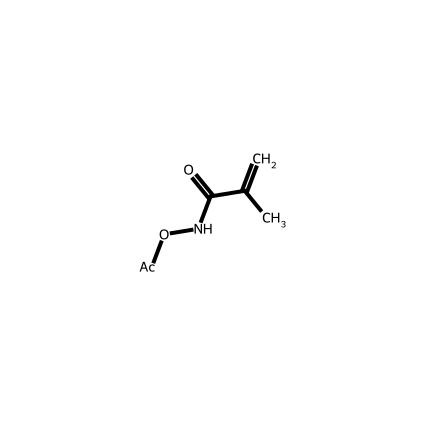 C=C(C)C(=O)NOC(C)=O